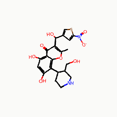 Cc1oc2c(C3CCNCC3CO)c(O)cc(O)c2c(=O)c1C(O)c1csc([N+](=O)[O-])c1